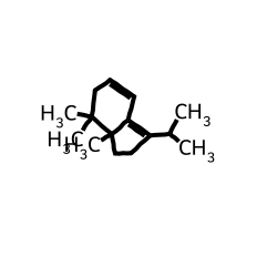 CC(C)C1=C2C=CCC(C)(C)C2(C)CC1